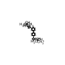 CC(C)(C)N[C@@H]1CC[C@H]1c1ccc(-c2cccc([C@H]3C[C@@H](NC(C)(C)C)C3)c2)cc1